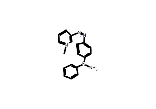 C[n+]1cccc(/N=N\c2ccc(N(N)c3ccccc3)cc2)c1